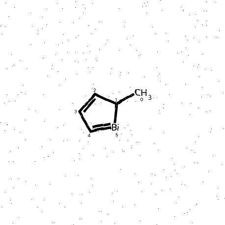 C[C]1C=C[CH]=[Bi]1